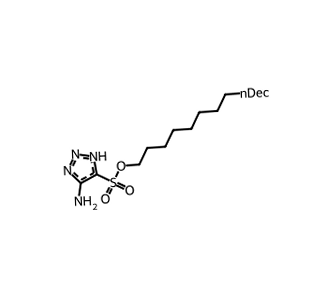 CCCCCCCCCCCCCCCCCCOS(=O)(=O)c1[nH]nnc1N